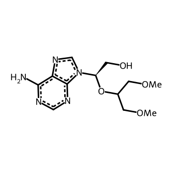 COCC(COC)O[C@H](CO)n1cnc2c(N)ncnc21